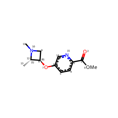 COC(=O)c1ccc(O[C@@H]2CN(C)[C@H]2C)cn1